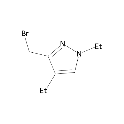 CCc1cn(CC)nc1CBr